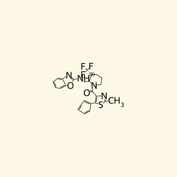 Cc1nc(C(=O)N2CCC[C@@H](C(F)(F)F)C2CNc2nc3ccccc3o2)c(-c2ccccc2)s1